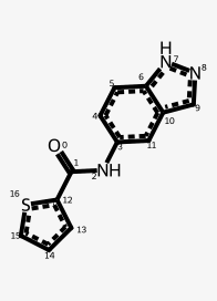 O=C(Nc1ccc2[nH]ncc2c1)c1cccs1